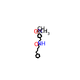 CN(C)[S@+]([O-])c1ccc(CCNC(=O)CCCCc2ccccc2)cc1